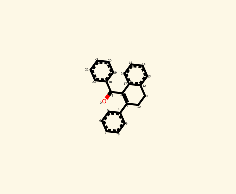 O=C(C1=C(c2ccccc2)CCc2ccccc21)c1ccccc1